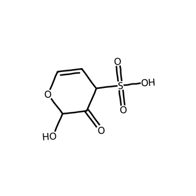 O=C1C(O)OC=CC1S(=O)(=O)O